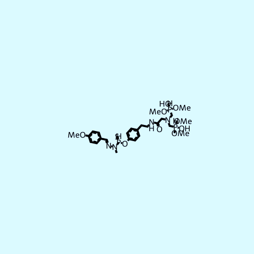 COc1ccc(C=NN(C)[PH](=S)Oc2ccc(CCNC(=O)CN(C[PH](O)(OC)OC)C[PH](O)(OC)OC)cc2)cc1